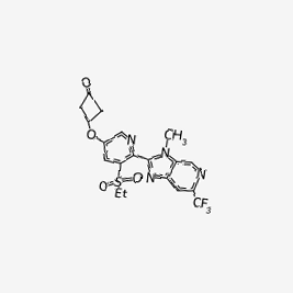 CCS(=O)(=O)c1cc(OC2CC(=O)C2)cnc1-c1nc2cc(C(F)(F)F)ncc2n1C